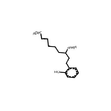 CCCCCCCCCCCCCCCC(CCCCCCC)CCc1ccccc1O